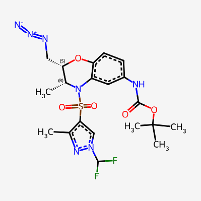 Cc1nn(C(F)F)cc1S(=O)(=O)N1c2cc(NC(=O)OC(C)(C)C)ccc2O[C@@H](CN=[N+]=[N-])[C@H]1C